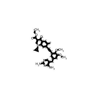 CCOC(=O)c1cn(C2CC2)c2cc(C#Cc3cc(Cc4cnc(N)nc4N)cc(OC)c3OC)c(F)cc2c1=O